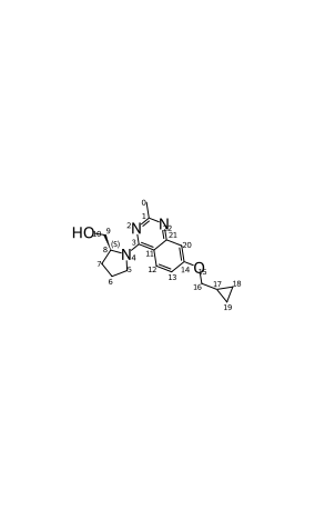 Cc1nc(N2CCC[C@H]2CO)c2ccc(OCC3CC3)cc2n1